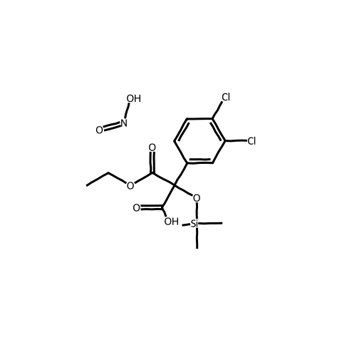 CCOC(=O)C(O[Si](C)(C)C)(C(=O)O)c1ccc(Cl)c(Cl)c1.O=NO